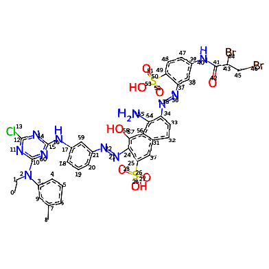 CCN(c1cccc(C)c1)c1nc(Cl)nc(Nc2cccc(/N=N/c3c(S(=O)(=O)O)cc4ccc(/N=N/c5cc(NC(=O)C(Br)CBr)ccc5S(=O)(=O)O)c(N)c4c3O)c2)n1